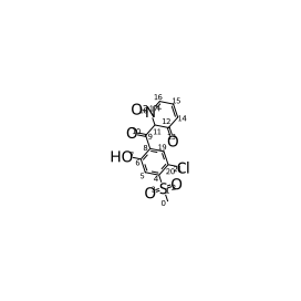 CS(=O)(=O)c1cc(O)c(C(=O)C2C(=O)C=CC=[N+]2[O-])cc1Cl